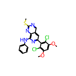 COc1cc(OC)c(Cl)c(-c2cc3cnc(SC)nc3c(Nc3ccccc3)n2)c1Cl